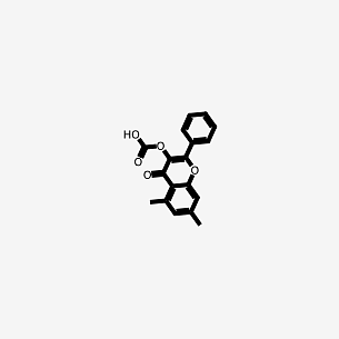 Cc1cc(C)c2c(=O)c(OC(=O)O)c(-c3ccccc3)oc2c1